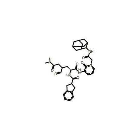 CNC(=O)CC(C=O)C[C@H](NC(=O)C1Cc2ccccc2C1)C(=O)Nc1cccn(CC(=O)NC2C3CC4CC(C3)CC2C4)c1=O